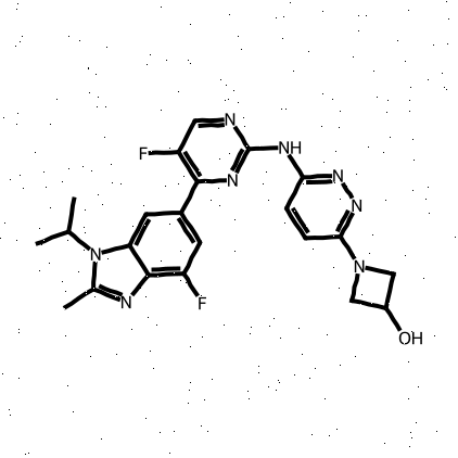 Cc1nc2c(F)cc(-c3nc(Nc4ccc(N5CC(O)C5)nn4)ncc3F)cc2n1C(C)C